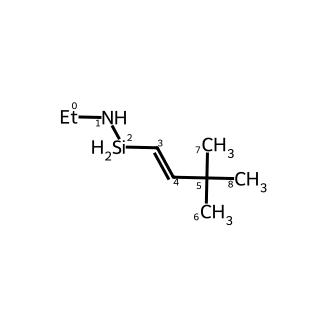 CCN[SiH2]C=CC(C)(C)C